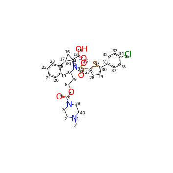 CN1CCN(C(=O)OCCCN([C@]2(C(=O)O)C[C@@H]2c2ccccc2)S(=O)(=O)c2ccc(-c3ccc(Cl)cc3)s2)CC1